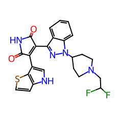 O=C1NC(=O)C(c2c[nH]c3ccsc23)=C1c1nn(C2CCN(CC(F)F)CC2)c2ccccc12